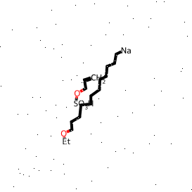 C=CCOS(=O)(=O)O.CCOCCCCCCCCCCC[CH2][Na]